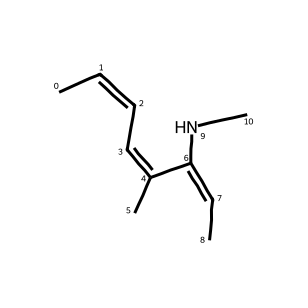 C\C=C/C=C(C)\C(=C/C)NC